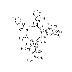 CO[C@]1(C)C[C@H](O[C@H]2[C@H](C)[C@@H](O[C@@H]3O[C@H](C)C[C@H](N(C)C)[C@H]3O)[C@](C)(O)C[C@@H](C)CN(C(=O)Nc3ccc(Cl)cc3)CC(Cc3c[nH]c4ccccc34)NC(=O)[C@@H]2C)O[C@@H](C)[C@@H]1O